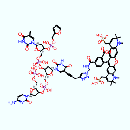 Cc1cn([C@H]2CC(OP(=O)(O)OCc3ccco3)[C@@H](COP(=O)(O)OC3C[C@H](n4cc(C#CCc5cn(CNC(=O)c6ccc(C7=c8cc9c(cc8Oc8cc%10c(cc87)C(CS(=O)(=O)O)=CC(C)(C)N%10C)=[N+](C)C(C)(C)C=C9CS(=O)(=O)O)c(C(=O)O)c6)nn5)c(=O)[nH]c4=O)O[C@@H]3COP(=O)(O)OC3C[C@H](n4ccc(N)nc4=O)O[C@@H]3COP(=O)(O)O)O2)c(=O)[nH]c1=O